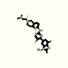 Cc1nc2c(F)cc(-c3nc(Nc4ccc5c(n4)CCN([C@@H](C)CN(C)C)C5)ncc3F)cc2n1C(C)(C)C